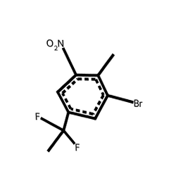 Cc1c(Br)cc(C(C)(F)F)cc1[N+](=O)[O-]